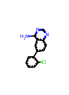 Nc1ncnc2ccc(-c3ccccc3Cl)cc12